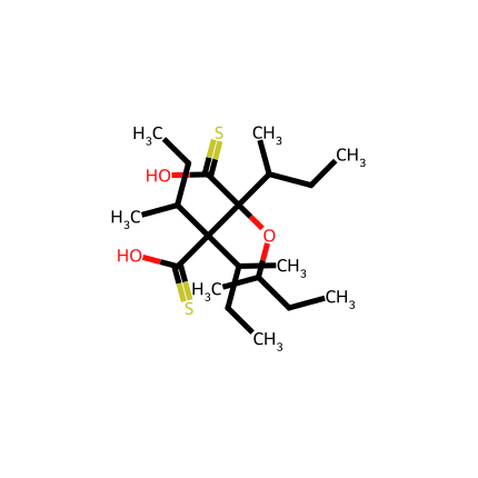 CCC(C)OC(C(O)=S)(C(C)CC)C(C(O)=S)(C(C)CC)C(C)CC